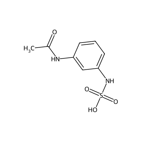 CC(=O)Nc1cccc(NS(=O)(=O)O)c1